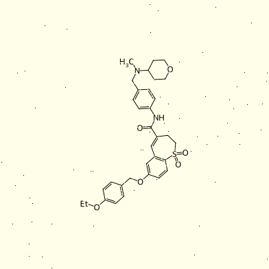 CCOc1ccc(COc2ccc3c(c2)C=C(C(=O)Nc2ccc(CN(C)C4CCOCC4)cc2)CCS3(=O)=O)cc1